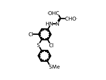 CSc1ccc(Sc2c(Cl)cc(NN=C([C]=O)[C]=O)cc2Cl)cc1